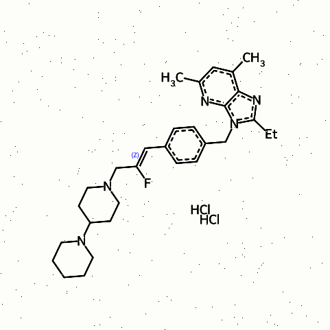 CCc1nc2c(C)cc(C)nc2n1Cc1ccc(/C=C(\F)CN2CCC(N3CCCCC3)CC2)cc1.Cl.Cl